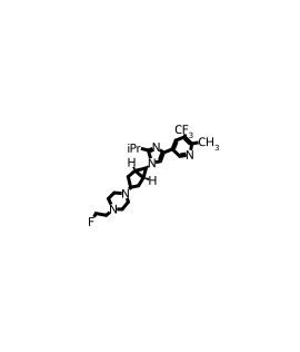 Cc1ncc(-c2cn([C@H]3[C@@H]4CC(N5CCN(CCF)CC5)C[C@@H]43)c(C(C)C)n2)cc1C(F)(F)F